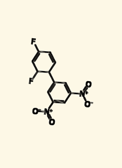 O=[N+]([O-])c1cc(C2C=CC(F)=CC2F)cc([N+](=O)[O-])c1